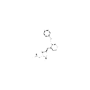 O=C(O)CN1C(=O)/C(=C/C2=CCCC=C2OCc2ccccc2)SC1=S